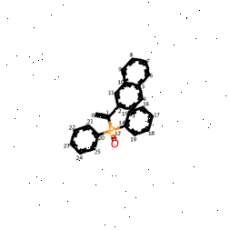 C=C(c1ccc2ccccc2c1)P(=O)(c1ccccc1)c1ccccc1